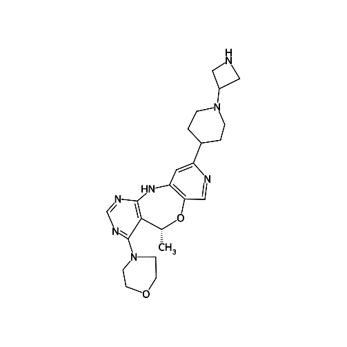 C[C@H]1Oc2cnc(C3CCN(C4CNC4)CC3)cc2Nc2ncnc(N3CCOCC3)c21